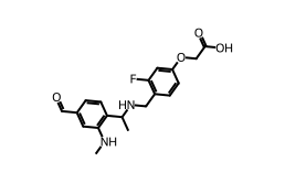 CNc1cc(C=O)ccc1C(C)NCc1ccc(OCC(=O)O)cc1F